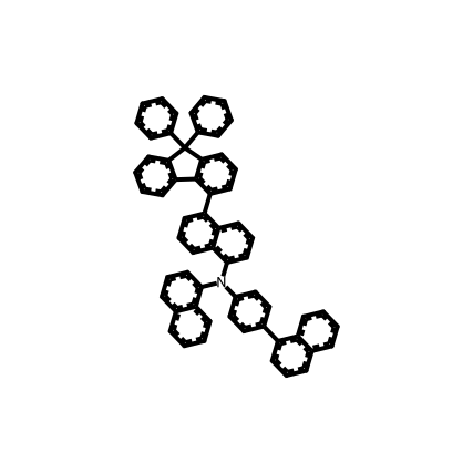 c1ccc(C2(c3ccccc3)c3ccccc3-c3c(-c4cccc5c(N(c6ccc(-c7cccc8ccccc78)cc6)c6cccc7ccccc67)cccc45)cccc32)cc1